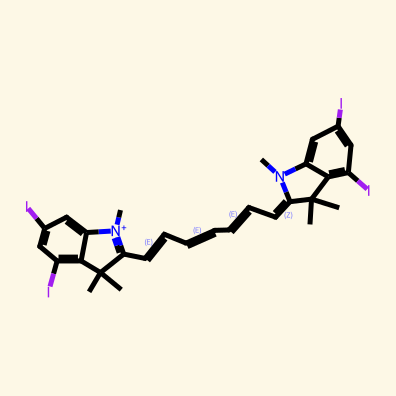 CN1\C(=C/C=C/C=C/C=C/C2=[N+](C)c3cc(I)cc(I)c3C2(C)C)C(C)(C)c2c(I)cc(I)cc21